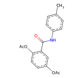 CC(=O)Oc1ccc(OC(C)=O)c(C(=O)Nc2ccc(C)cc2)c1